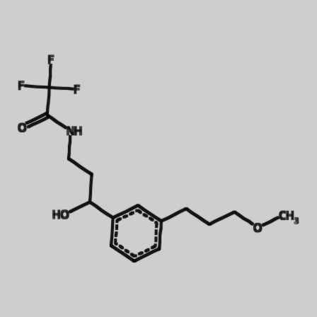 COCCCc1cccc(C(O)CCNC(=O)C(F)(F)F)c1